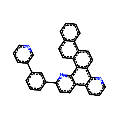 c1cncc(-c2cccc(-c3ccc4c5cccnc5c5ccc6c7ccccc7ccc6c5c4n3)c2)c1